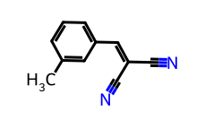 Cc1cccc(C=C(C#N)C#N)c1